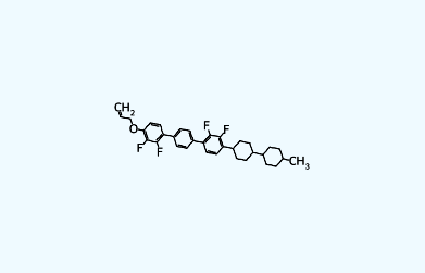 C=CCOc1ccc(-c2ccc(-c3ccc(C4CCC(C5CCC(C)CC5)CC4)c(F)c3F)cc2)c(F)c1F